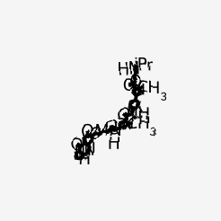 COc1cc2c(cc1OCCCC(=O)Nc1cc(C(=O)Nc3ccc(-c4cc(C(=O)OCCNC(C)C)n(C)c4)cc3)n(C)c1)N=C[C@H]1CC=CN1C2=O